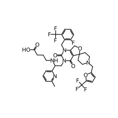 Cc1cccc(C(Cn2c(=O)c3c(n(Cc4c(F)cccc4C(F)(F)F)c2=O)COC32CCN(Cc3ccc(C(F)(F)F)o3)CC2)NCCCC(=O)O)n1